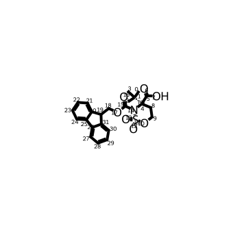 CC(C)(C)[C@]1(C(=O)O)CCOS(=O)(=O)N1C(=O)OCC1c2ccccc2-c2ccccc21